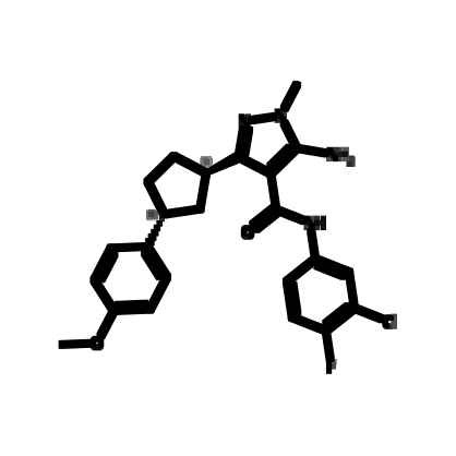 COc1ccc([C@@H]2CC[C@@H](c3nn(C)c(N)c3C(=O)Nc3ccc(F)c(Cl)c3)C2)cc1